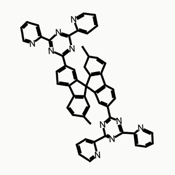 Cc1ccc2c(c1)C1(C3=C(C=CC(C)C3)c3ccc(-c4nc(-c5ccccn5)nc(-c5ccccn5)n4)cc31)c1cc(-c3nc(-c4ccccn4)nc(-c4ccccn4)n3)ccc1-2